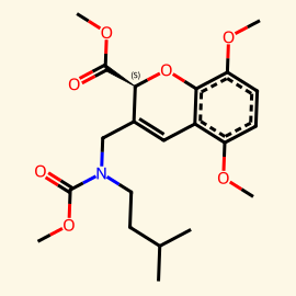 COC(=O)[C@H]1Oc2c(OC)ccc(OC)c2C=C1CN(CCC(C)C)C(=O)OC